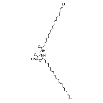 CCC=CCC=CCC=CCC=CCC=CCC=CCCC(=O)NCC(NC(=O)CCC=CCC=CCC=CCC=CCC=CCC=CCC)C(=O)OC